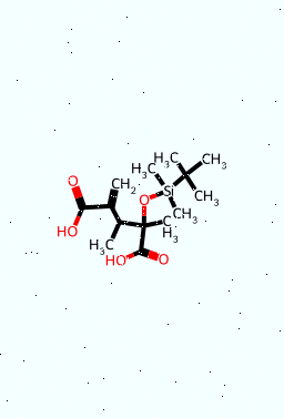 C=C(C(=O)O)C(C)C(C)(O[Si](C)(C)C(C)(C)C)C(=O)O